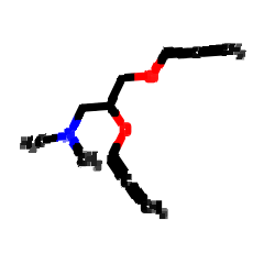 C=C=COCC(CN(C)C)OC=C=C